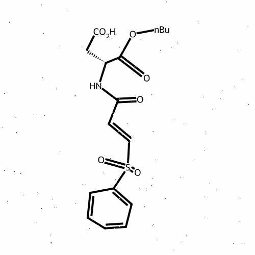 CCCCOC(=O)[C@@H](CC(=O)O)NC(=O)C=CS(=O)(=O)c1ccccc1